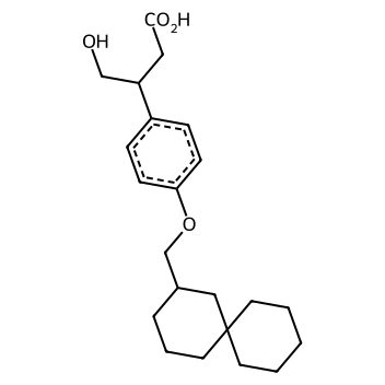 O=C(O)CC(CO)c1ccc(OCC2CCCC3(CCCCC3)C2)cc1